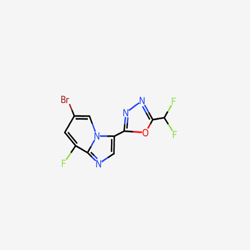 Fc1cc(Br)cn2c(-c3nnc(C(F)F)o3)cnc12